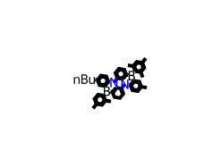 CCCCc1ccc2c(c1)B(c1ccc(C)cc1C)C1=C3C(=CCC1)N1c4ccc(C)cc4B(c4c(C)cc(C)cc4C)c4cccc(c41)N32